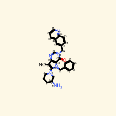 N#Cc1c(N2CCC[C@H](N)C2)n(Cc2ccccc2)c2c(=O)n(Cc3ccc4ncccc4c3)cnc12